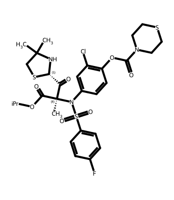 CC(C)OC(=O)[C@@](C)(C(=O)[C@H]1NC(C)(C)CS1)N(c1ccc(OC(=O)N2CCSCC2)c(Cl)c1)S(=O)(=O)c1ccc(F)cc1